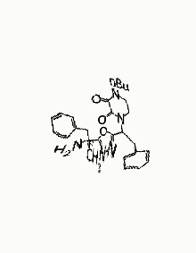 CCCCN1CCN(C(Cc2ccccc2)c2nnc([C@](C)(N)Cc3ccccc3)o2)C(=O)C1=O